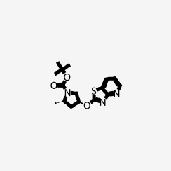 C[C@H]1C[C@@H](Oc2nc3ncccc3s2)CN1C(=O)OC(C)(C)C